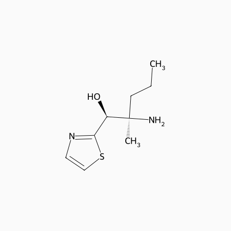 CCC[C@@](C)(N)[C@H](O)c1nccs1